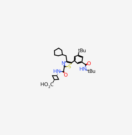 CC(C)(C)NC(=O)c1cc(-c2sc(C(=O)N[C@H]3C[C@H](C(=O)O)C3)nc2CC2CCCCC2)cc(C(C)(C)C)c1